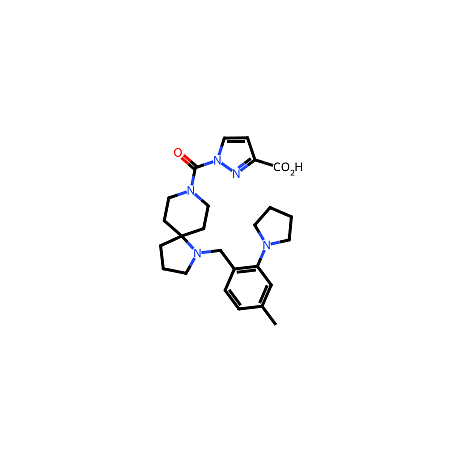 Cc1ccc(CN2CCCC23CCN(C(=O)n2ccc(C(=O)O)n2)CC3)c(N2CCCC2)c1